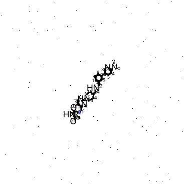 CN(C)c1ccc(-c2cccc(CNCC3CCN(c4nccc(/C=C5/SC(=O)NC5=O)n4)CC3)c2)cn1